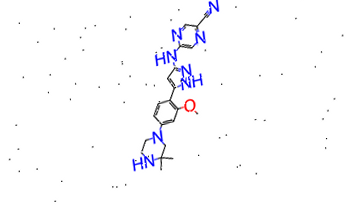 COc1cc(N2CCNC(C)(C)C2)ccc1-c1cc(Nc2cnc(C#N)cn2)n[nH]1